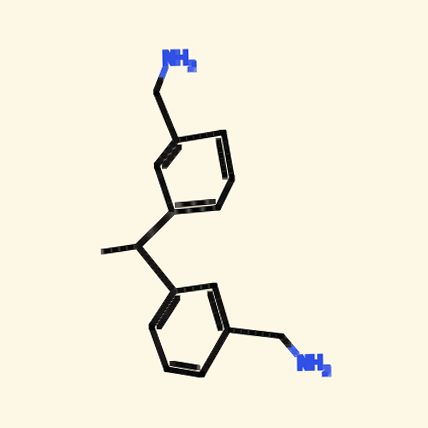 CC(c1cccc(CN)c1)c1cccc(CN)c1